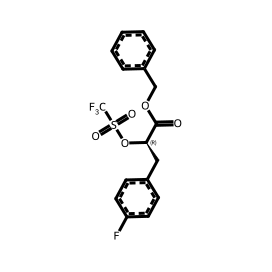 O=C(OCc1ccccc1)[C@@H](Cc1ccc(F)cc1)OS(=O)(=O)C(F)(F)F